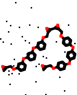 c1cc(OCC2CO2)cc(Oc2cccc(Oc3cccc(OCC4OC4C4OC4COc4ccc(Oc5ccc(Oc6ccc(OCC7CO7)cc6)cc5)cc4)c3)c2)c1